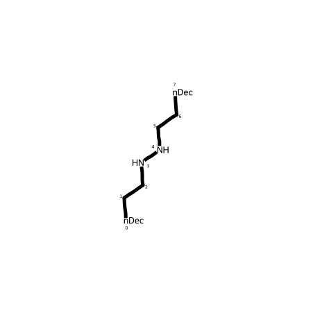 CCCCCCCCCCCCNNCCCCCCCCCCCC